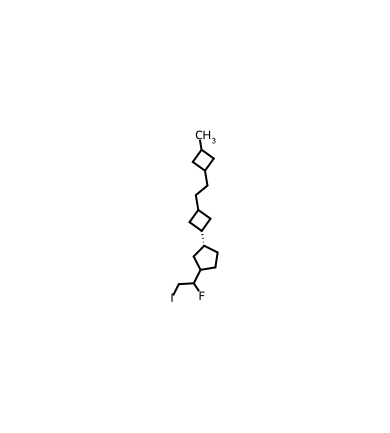 CC1CC(CCC2CC([C@@H]3CCC(C(F)CI)C3)C2)C1